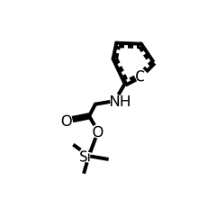 C[Si](C)(C)OC(=O)CNc1ccccc1